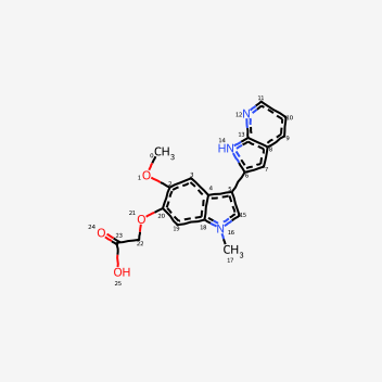 COc1cc2c(-c3cc4cccnc4[nH]3)cn(C)c2cc1OCC(=O)O